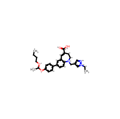 CCCCOC(C)Oc1ccc(-c2ccc3c(c2)C=C(C(=O)O)CCN3Cc2cnn(CC)c2)cc1